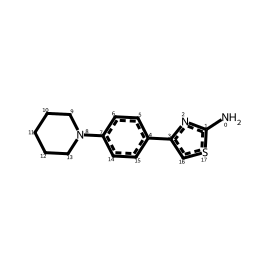 Nc1nc(-c2ccc(N3CCCCC3)cc2)cs1